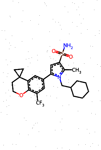 Cc1c(S(N)(=O)=O)cc(-c2cc(C(F)(F)F)c3c(c2)C2(CCO3)CC2)n1CC1CCCCC1